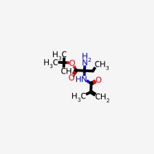 C=C(C)C(=O)NC(N)(CC)C(=O)OC(C)(C)C